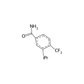 CC(C)c1cc(C(N)=O)ccc1C(F)(F)F